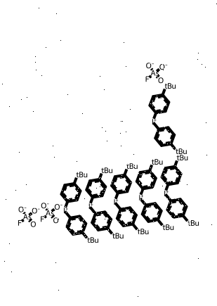 CC(C)(C)c1ccc([I+]c2ccc(C(C)(C)C)cc2)cc1.CC(C)(C)c1ccc([I+]c2ccc(C(C)(C)C)cc2)cc1.CC(C)(C)c1ccc([I+]c2ccc(C(C)(C)C)cc2)cc1.CC(C)(C)c1ccc([I+]c2ccc(C(C)(C)C)cc2)cc1.CC(C)(C)c1ccc([I+]c2ccc(C(C)(C)C)cc2)cc1.CC(C)(C)c1ccc([I+]c2ccc(C(C)(C)C)cc2)cc1.O=[As]([O-])([O-])F.O=[As]([O-])([O-])F.O=[As]([O-])([O-])F